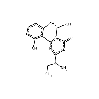 CCN(N)c1nc(-c2c(C)cccc2C)n(CC)c(=O)n1